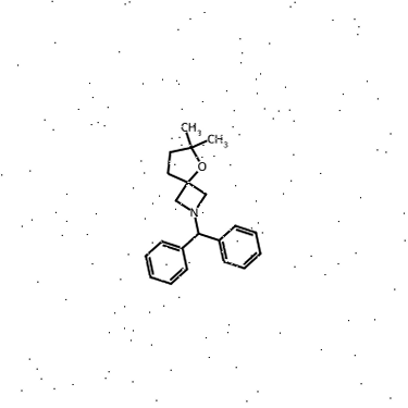 CC1(C)CCC2(CN(C(c3ccccc3)c3ccccc3)C2)O1